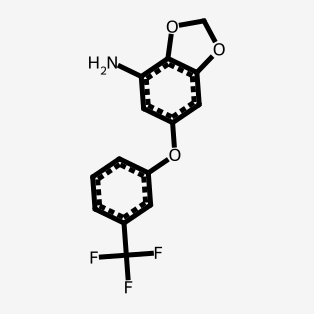 Nc1cc(Oc2cccc(C(F)(F)F)c2)cc2c1OCO2